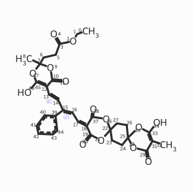 CCOC(=O)CCC1(C)OC(=O)C(/C=C/C(=C/C=C2C(=O)OC3(CCC4(CC3)OC(=O)C(C)=C(O)O4)OC2=O)c2ccccc2)=C(O)O1